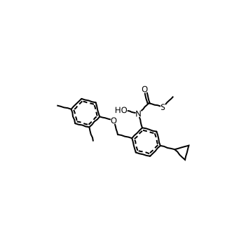 CSC(=O)N(O)c1cc(C2CC2)ccc1COc1ccc(C)cc1C